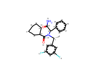 C[C@H](c1cc(F)cc(F)c1)N(C(=O)C1CCCCC1)[C@@H](C(N)=O)c1ccccc1